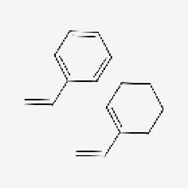 C=CC1=CCCCC1.C=Cc1ccccc1